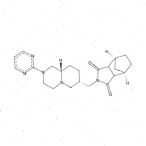 O=C1C2C(C(=O)N1C[C@H]1CC[C@H]3CN(c4ncccn4)CCN3C1)[C@H]1CC[C@@H]2C1